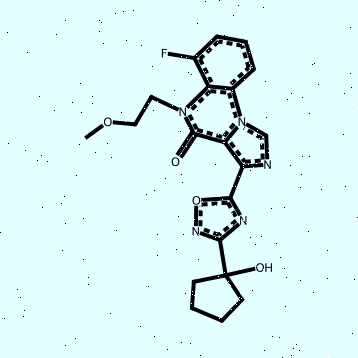 COCCn1c(=O)c2c(-c3nc(C4(O)CCCC4)no3)ncn2c2cccc(F)c21